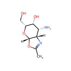 CC1=N[C@@H]2[C@H](O1)O[C@H](CO)[C@H](O)[C@@H]2N